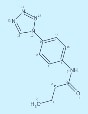 CCSC(=O)Nc1ccc(-n2cnnn2)cc1